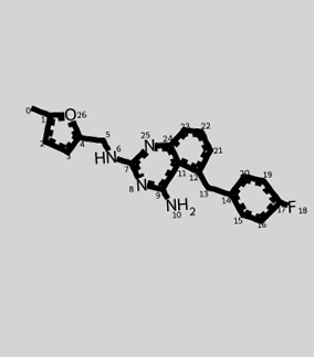 Cc1ccc(CNc2nc(N)c3c(Cc4ccc(F)cc4)cccc3n2)o1